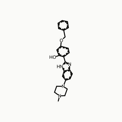 CN1CCN(c2ccc3nc(-c4ccc(OCc5ccccc5)cc4O)[nH]c3c2)CC1